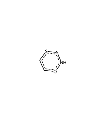 c1css[nH]o1